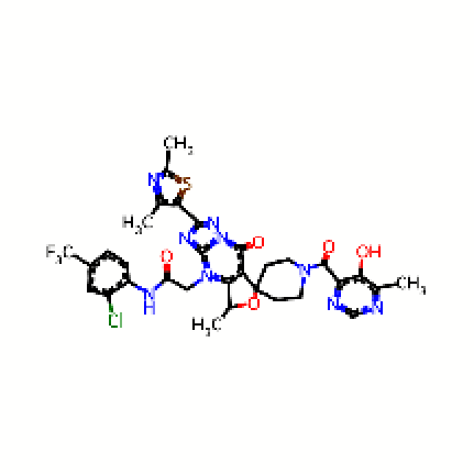 Cc1nc(C)c(-c2nc3n(CC(=O)Nc4ccc(C(F)(F)F)cc4Cl)c4c(c(=O)n3n2)C2(CCN(C(=O)c3ncnc(C)c3O)CC2)OC4C)s1